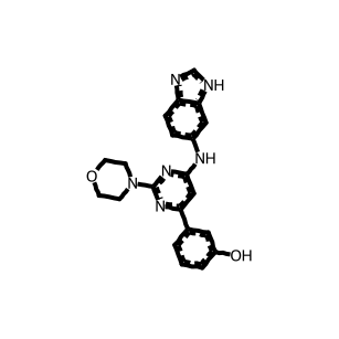 Oc1cccc(-c2cc(Nc3ccc4nc[nH]c4c3)nc(N3CCOCC3)n2)c1